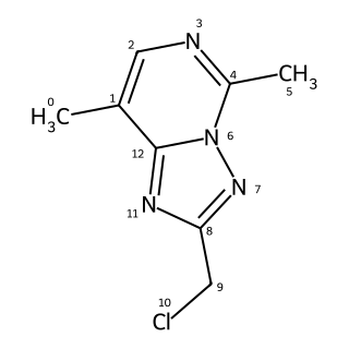 Cc1cnc(C)n2nc(CCl)nc12